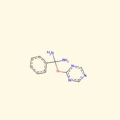 NC(N)(Oc1ncncn1)c1ccccc1